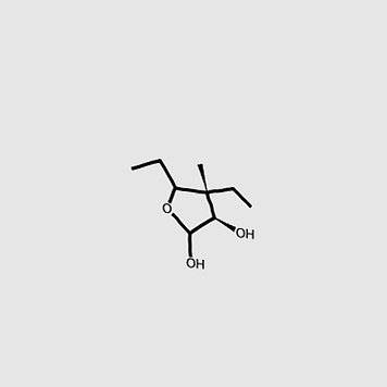 CCC1OC(O)[C@H](O)[C@@]1(C)CC